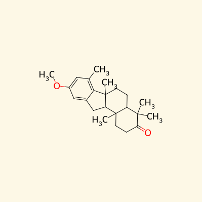 COc1cc(C)c2c(c1)CC1C2(C)CCC2C(C)(C)C(=O)CCC21C